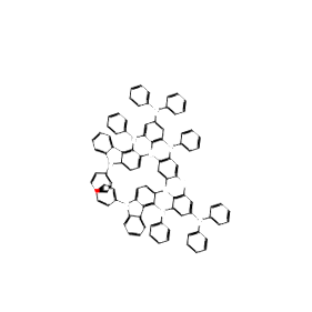 c1ccc(N(c2ccccc2)c2cc3c4c(c2)N(c2ccccc2)c2c(ccc5c2c2ccccc2n5-c2ccccc2)B4c2cc4c(cc2O3)N(c2ccccc2)c2cc(N(c3ccccc3)c3ccccc3)cc3c2B4c2ccc4c(c2N3c2ccccc2)c2ccccc2n4-c2ccccc2)cc1